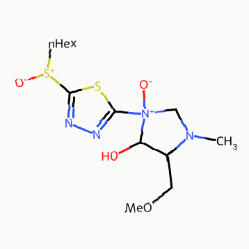 CCCCCC[S+]([O-])c1nnc([N+]2([O-])CN(C)C(COC)C2O)s1